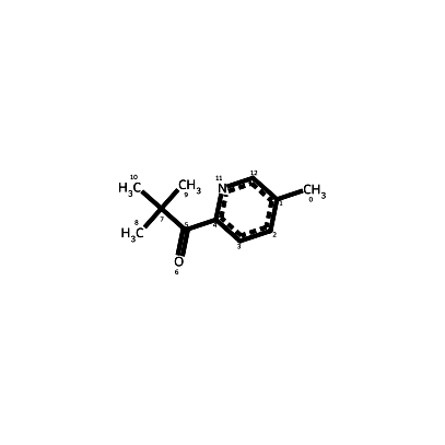 Cc1ccc(C(=O)C(C)(C)C)nc1